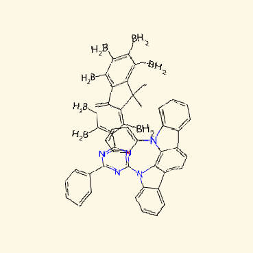 BC/C(B)=C(\C(B)=C1/C(=C)c2c(B)c(B)c(B)c(B)c2C1(C)C)c1nc(-c2ccccc2)nc(-n2c3ccccc3c3ccc4c5ccccc5n(-c5ccccc5)c4c32)n1